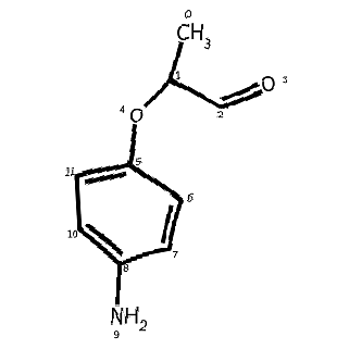 CC([C]=O)Oc1ccc(N)cc1